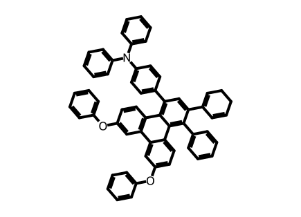 C1=CC(c2cc(-c3ccc(N(c4ccccc4)c4ccccc4)cc3)c3c4ccc(Oc5ccccc5)cc4c4cc(Oc5ccccc5)ccc4c3c2-c2ccccc2)=CCC1